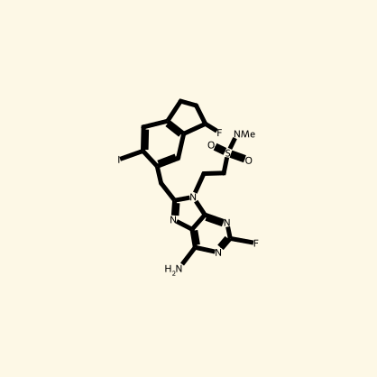 CNS(=O)(=O)CCn1c(Cc2cc3c(cc2I)CCC3F)nc2c(N)nc(F)nc21